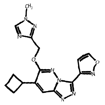 Cn1cnc(COc2nn3c(-c4ccon4)nnc3cc2C2CCC2)n1